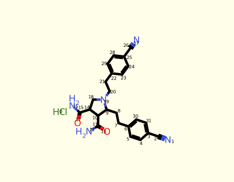 Cl.N#Cc1ccc(CCC2C(C(N)=O)C(C(N)=O)CN2CCc2ccc(C#N)cc2)cc1